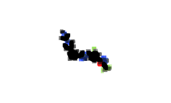 CN1CC(N2CCC(c3cccc(-c4cn(Cc5ccc(-c6nnc(C(F)F)o6)cc5F)nn4)c3)CC2)C1